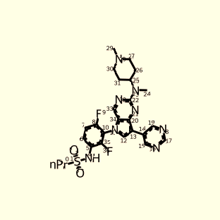 CCCS(=O)(=O)Nc1ccc(F)c(-n2cc(-c3cncnc3)c3nc(N(C)C4CCN(C)CC4)ncc32)c1F